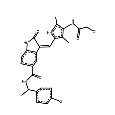 Cc1[nH]c(C=C2C(=O)Nc3ccc(C(=O)NC(C)c4ccc(Cl)cc4)cc32)c(C)c1NC(=O)CCl